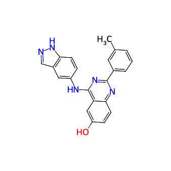 Cc1cccc(-c2nc(Nc3ccc4[nH]ncc4c3)c3cc(O)ccc3n2)c1